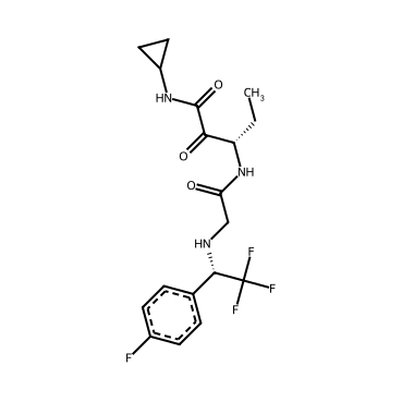 CC[C@H](NC(=O)CN[C@@H](c1ccc(F)cc1)C(F)(F)F)C(=O)C(=O)NC1CC1